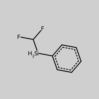 FC(F)[SiH2]c1ccccc1